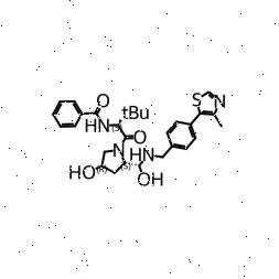 Cc1ncsc1-c1ccc(CNC(O)[C@@H]2C[C@@H](O)CN2C(=O)[C@@H](NC(=O)c2ccccc2)C(C)(C)C)cc1